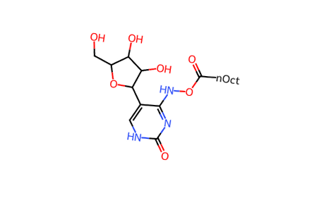 CCCCCCCCC(=O)ONc1nc(=O)[nH]cc1C1OC(CO)C(O)C1O